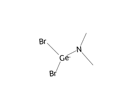 C[N](C)[Ge]([Br])[Br]